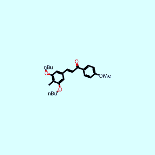 CCCCOc1cc(C=CC(=O)c2ccc(OC)cc2)cc(OCCCC)c1C